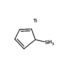 [SiH3]C1C=CC=C1.[Ti]